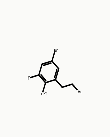 CCCc1c(F)cc(Br)cc1CCC(C)=O